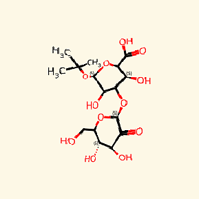 CC(C)(C)O[C@@H]1OC(C(=O)O)[C@@H](O)C(O[C@@H]2OC(CO)[C@@H](O)C(O)C2=O)C1O